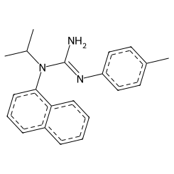 Cc1ccc(N=C(N)N(c2cccc3ccccc23)C(C)C)cc1